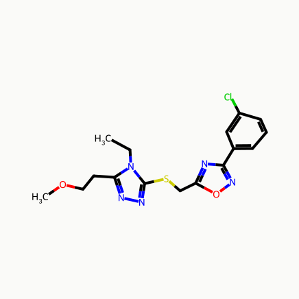 CCn1c(CCOC)nnc1SCc1nc(-c2cccc(Cl)c2)no1